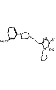 CCN1N=C(CCN2CCN(c3cccc(OC)c3)CC2)N(CC2CCCCC2)C1C=O